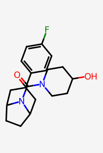 O=C(N1CCC(O)CC1)N1C2CCC1CC(c1ccc(F)cc1)C2